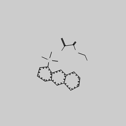 C=C(C)C(=O)OCC.C[N+](C)(C)c1cccc2cc3ccccc3cc12